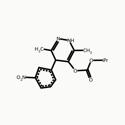 CC1=NNC(C)=C(OC(=O)OC(C)C)C1c1cccc([N+](=O)[O-])c1